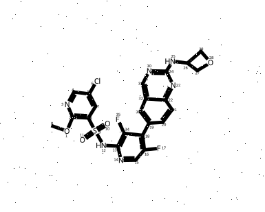 COc1ncc(Cl)cc1S(=O)(=O)Nc1ncc(F)c(-c2ccc3nc(NC4COC4)ncc3c2)c1F